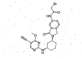 COc1nc(N[C@@H]2CCC[C@H](N3Cc4ccc(NC(=O)CBr)cc4C3=O)C2)ncc1C#N